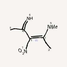 CN/C(C)=C(\C(C)=N)[N+](=O)[O-]